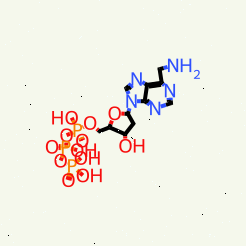 NCc1ncnc2c1ncn2C1CC(O)C(COP(=O)(O)OP(=O)(O)OP(=O)(O)O)O1